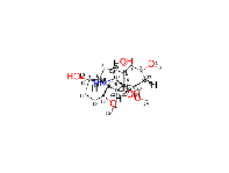 COC1C[C@]2(O)[C@H]3C[C@@H]4[C@@]5(O)CCC(OC)[C@@]4([C@@H]3NC5)[C@@H]3C[C@H]1C(OC)[C@@]32O